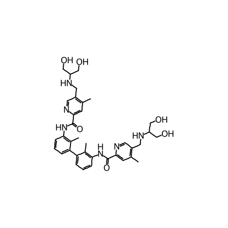 Cc1cc(C(=O)Nc2cccc(-c3cccc(NC(=O)c4cc(C)c(CNC(CO)CO)cn4)c3C)c2C)ncc1CNC(CO)CO